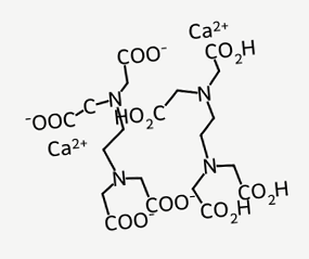 O=C(O)CN(CCN(CC(=O)O)CC(=O)O)CC(=O)O.O=C([O-])CN(CCN(CC(=O)[O-])CC(=O)[O-])CC(=O)[O-].[Ca+2].[Ca+2]